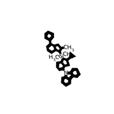 CC1CC2C(c3ccccc3)=CC=CC2C1[Si](C)(C)C1C2C=CC=C(n3c4ccccc4c4ccccc43)C2CC1C1CC1